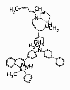 C=C/C=C\C=C(/C)N1C/C=C\C(C(/C=C\C(=C)N(c2ccc(C3=Cc4ccccc4C4=C(C)C(c5ccccc5)NN34)cc2)c2ccc(-c3ccccc3)cc2)=C/C)CC(=C)[C@@H]2CCC=CC21